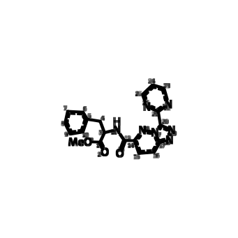 COC(=O)C(Cc1ccccc1)NC(=O)c1ccc2nnc(-c3ncccn3)n2n1